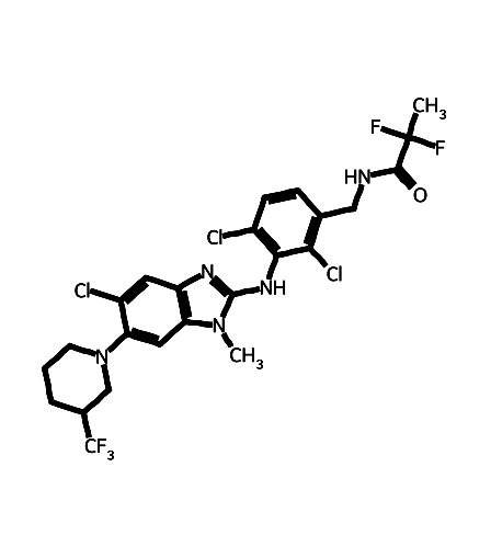 Cn1c(Nc2c(Cl)ccc(CNC(=O)C(C)(F)F)c2Cl)nc2cc(Cl)c(N3CCCC(C(F)(F)F)C3)cc21